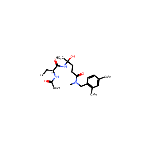 CCCCCCCCC(=O)N[C@@H](CC(C)C)C(=O)NC(O)(CCC(=O)N(C)Cc1ccc(OC)cc1OC)C(=O)O